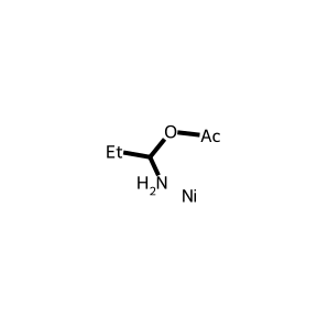 CCC(N)OC(C)=O.[Ni]